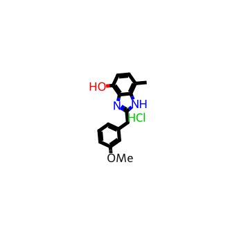 COc1cccc(Cc2nc3c(O)ccc(C)c3[nH]2)c1.Cl